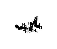 COC(=O)[C@H](CCNC(=O)C(=O)Nc1ccc(OC2CCOCC2)cc1)NC(=O)c1ccc(Nc2nc(NC3(c4ccc(Cl)cc4)CC3)nc(OCC(F)(F)F)n2)cc1